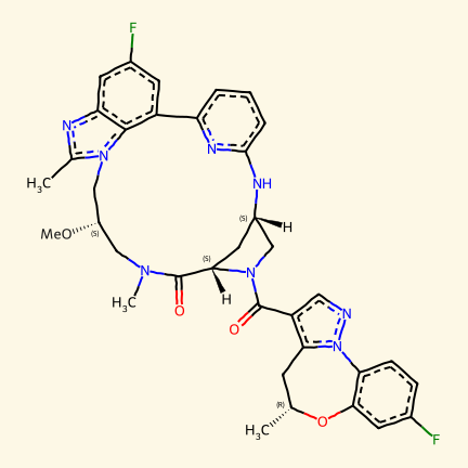 CO[C@H]1CN(C)C(=O)[C@@H]2C[C@@H](CN2C(=O)c2cnn3c2C[C@@H](C)Oc2cc(F)ccc2-3)Nc2cccc(n2)-c2cc(F)cc3nc(C)n(c23)C1